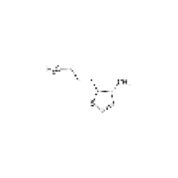 CCCCC1SC=CC1C